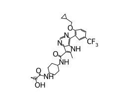 Cc1[nH]c2c(-c3cc(C(F)(F)F)ccc3OCC3CC3)ncnc2c1C(=O)NC1CCC(NC(=O)[C@H](C)O)CC1